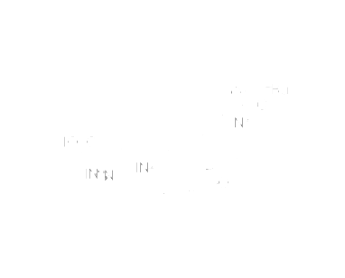 CC(C)(C)OC(=O)N1CCC(C(=O)c2ccc(N/C=C(/CC(=O)O)N=N)cc2)CC1